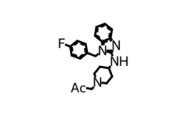 CC(=O)CN1CCC(Nc2nc3ccccc3n2Cc2ccc(F)cc2)CC1